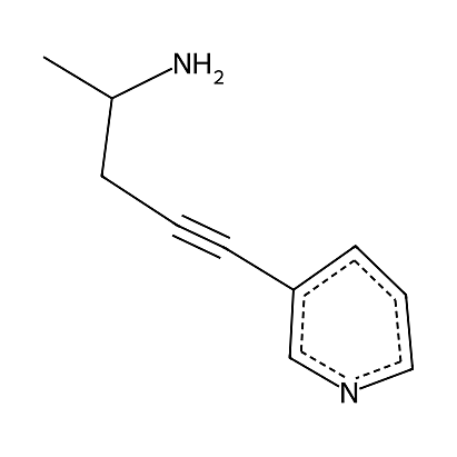 CC(N)CC#Cc1cccnc1